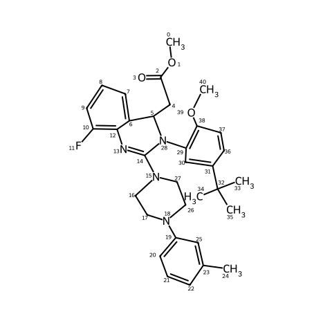 COC(=O)CC1c2cccc(F)c2N=C(N2CCN(c3cccc(C)c3)CC2)N1c1cc(C(C)(C)C)ccc1OC